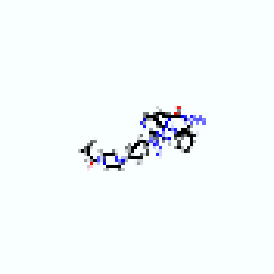 O=C1NCC2(CCCCC2)n2c1cc1cnc(NC3CCC(N4CCN(C(=O)C5CC5)CC4)CC3)nc12